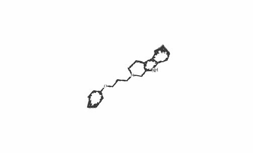 c1ccc(OCCCN2CCc3c([nH]c4ccccc34)C2)cc1